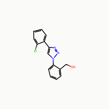 OCc1ccccc1-n1cc(-c2ccccc2Cl)nn1